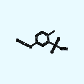 COS(=O)(=O)c1cc(N=C=O)ccc1C